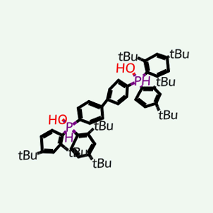 CC(C)(C)c1ccc([PH](O)(c2ccc(-c3ccc([PH](O)(c4ccc(C(C)(C)C)cc4C(C)(C)C)c4ccc(C(C)(C)C)cc4C(C)(C)C)cc3)cc2)c2ccc(C(C)(C)C)cc2C(C)(C)C)c(C(C)(C)C)c1